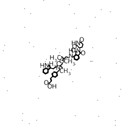 CCC(C)(CCNc1cccc2c1C(=O)N(C1CCC(=O)NC1=O)C2=O)OCC(C)(CC)N(CCc1c[nH]c2ccccc12)Cc1ccc(/C=C/C(=O)O)cc1